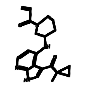 C=CC(=O)N1CCC[C@@H](Nc2ccnc3[nH]cc(C(=O)C4(C)CC4)c23)C1